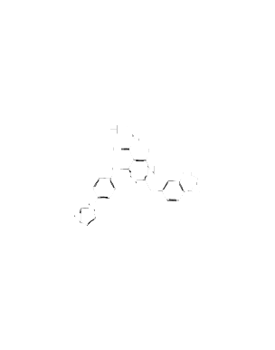 COC(=O)c1c(Cl)nc(Cc2ccc3c(c2)OCO3)nc1Oc1ccc(-n2ccnc2)cc1